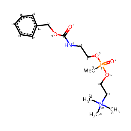 COP(=O)(OCCNC(=O)OCc1ccccc1)OCC[N+](C)(C)C